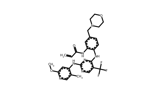 C=CC(=O)Nc1cc(CN2CCOCC2)ccc1Nc1nc(Nc2cc(OC)ncc2C)ncc1C(F)(F)F